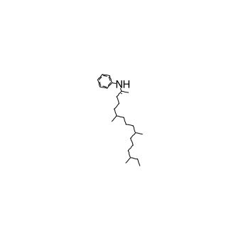 CCC(C)CCCC(C)CCCC(C)CCC[C](C)Nc1ccccc1